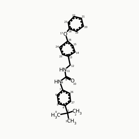 CC(C)(C)c1ccc(NC(=O)NCc2ccc(Oc3ccccc3)cc2)cc1